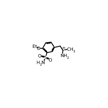 CCOc1ccc(C[C@@H](C)N)cc1S(N)(=O)=O